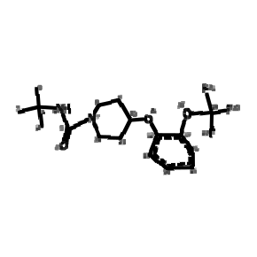 CC(C)(C)NC(=O)N1CCC(Oc2ccccc2OC(F)(F)F)CC1